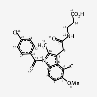 COc1ccc2c(c1Cl)c(CC(=O)NCCC(=O)O)c(C)n2C(=O)c1ccc(Cl)cc1